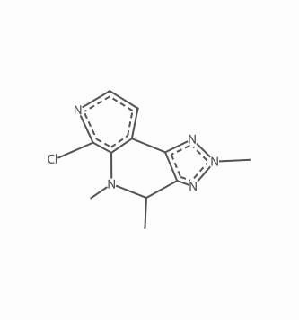 CC1c2nn(C)nc2-c2ccnc(Cl)c2N1C